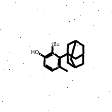 Cc1ccc(O)c(C(C)(C)C)c1C12CC3CC(CC(C3)C1)C2